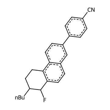 CCCCC1CCc2c(ccc3cc(-c4ccc(C#N)cc4)ccc23)C1F